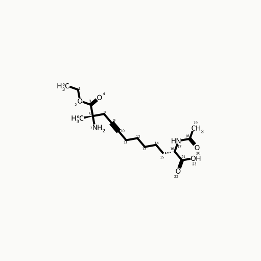 CCOC(=O)[C@@](C)(N)CC#CCCCCC[C@H](NC(C)=O)C(=O)O